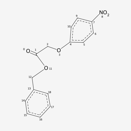 O=C(COc1ccc([N+](=O)[O-])cc1)OCc1ccccc1